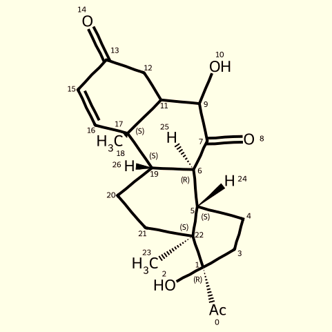 CC(=O)[C@@]1(O)CC[C@H]2[C@@H]3C(=O)C(O)C4CC(=O)C=C[C@]4(C)[C@H]3CC[C@@]21C